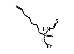 C=CCCCCSP(=S)(NC=S)OCC